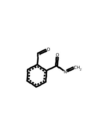 C=NC(=O)c1ccccc1C=O